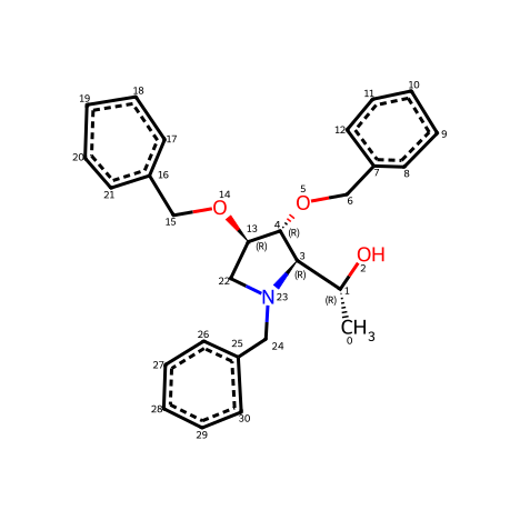 C[C@@H](O)[C@@H]1[C@@H](OCc2ccccc2)[C@H](OCc2ccccc2)CN1Cc1ccccc1